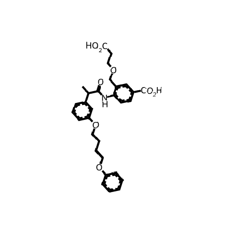 CC(C(=O)Nc1ccc(C(=O)O)cc1COCCC(=O)O)c1cccc(OCCCCOc2ccccc2)c1